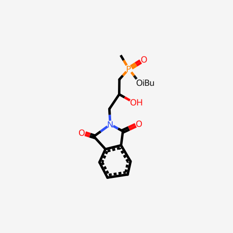 CC(C)COP(C)(=O)CC(O)CN1C(=O)c2ccccc2C1=O